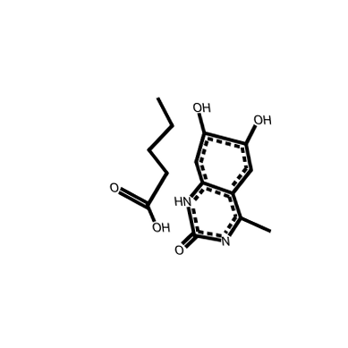 CCCCC(=O)O.Cc1nc(=O)[nH]c2cc(O)c(O)cc12